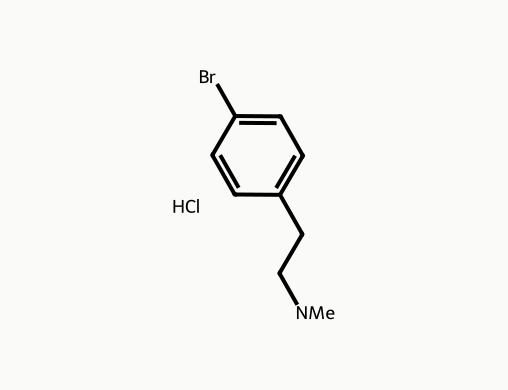 CNCCc1ccc(Br)cc1.Cl